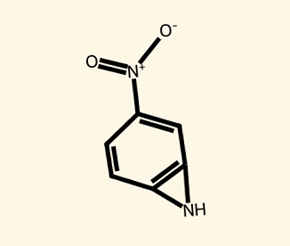 O=[N+]([O-])c1ccc2c(c1)N2